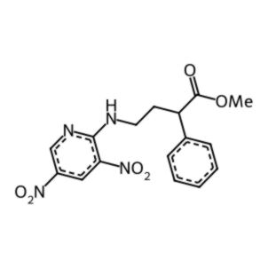 COC(=O)C(CCNc1ncc([N+](=O)[O-])cc1[N+](=O)[O-])c1ccccc1